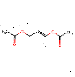 CC(=O)O/C=C/COC(C)=O